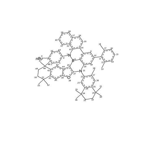 CCCCc1ccc(N2B3c4c(cc(-c5c(C)cccc5C)cc4N(c4cc5c(cc4C)C(C)(C)CCC5(C)C)c4oc5cc6c(cc5c43)C(C)(C)CCC6(C)C)-c3ccc4ccccc4c32)cc1